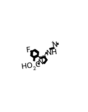 Cc1cc(F)ccc1[C@H]1[C@H](CNCCN(C)C)CCN1C(=O)O